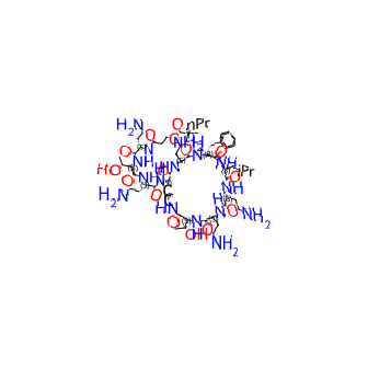 CCCC(C)(C)C(=O)OCCC(=O)N[C@@H](CCN)C(=O)N[C@H](C(=O)N[C@@H](CCN)C(=O)N[C@H]1CCNC(=O)[C@H](C(C)O)NC(=O)[C@H](CCN)NC(=O)[C@H](CCN)NC(=O)[C@H](CC(C)C)NC(=O)[C@@H](Cc2ccccc2)NC(=O)[C@H](CCN)NC1=O)C(C)O